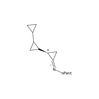 CCCCC/N=C1\C[C@@H]1C1CC1C1CC1